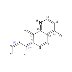 C=c1/c(=C(C)\C=C/C)ccc2c(C)ccnc12